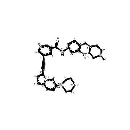 CN1CCN(Cc2ccc(NC(=O)c3cncc(C#Cc4cnc5ccc(N6CCNCC6)nn45)c3)cc2C(F)(F)F)CC1